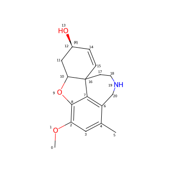 COc1cc(C)c2c3c1OC1C[C@@H](O)C=CC31CCNC2